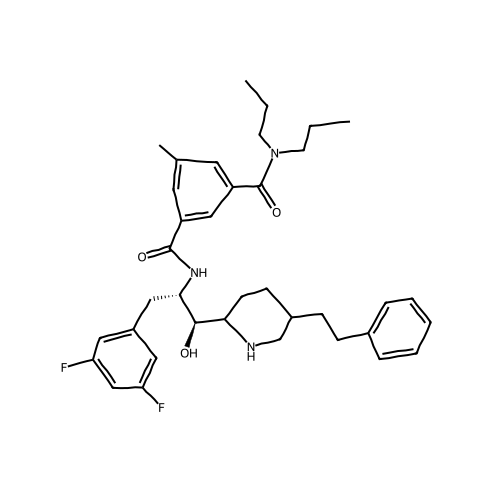 CCCN(CCC)C(=O)c1cc(C)cc(C(=O)N[C@@H](Cc2cc(F)cc(F)c2)[C@H](O)C2CCC(CCc3ccccc3)CN2)c1